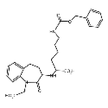 O=C(O)CN1C(=O)C(NC(CCCCNC(=O)OCc2ccccc2)C(=O)O)CCc2ccccc21